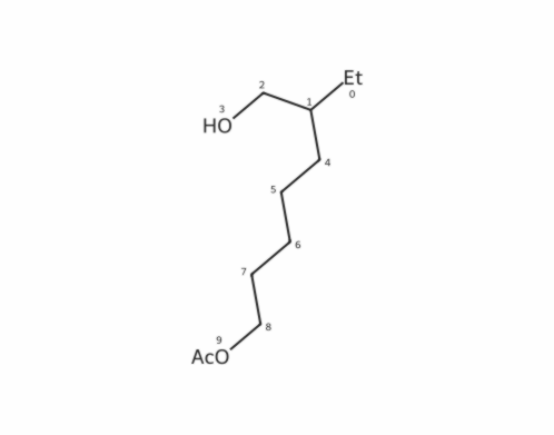 CCC(CO)CCCCCOC(C)=O